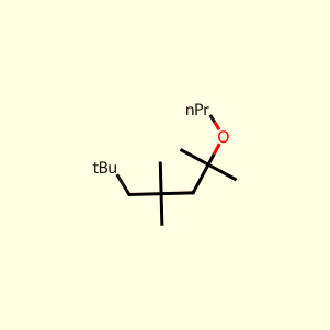 CCCOC(C)(C)CC(C)(C)CC(C)(C)C